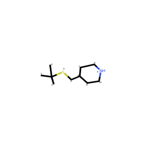 CC(C)(C)SCC1CCNCC1